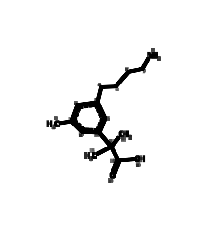 Cc1cc(CCCCN)cc(C(C)(C)C(=O)O)c1